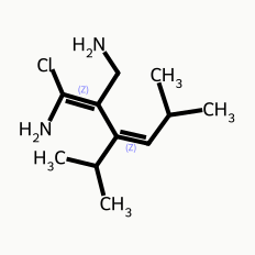 CC(C)/C=C(\C(CN)=C(/N)Cl)C(C)C